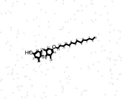 CCCCCCCCCCCCCCOc1cc(C)c([Te]c2c(C)cc(O)cc2C)c(C)c1